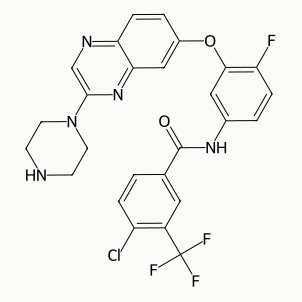 O=C(Nc1ccc(F)c(Oc2ccc3ncc(N4CCNCC4)nc3c2)c1)c1ccc(Cl)c(C(F)(F)F)c1